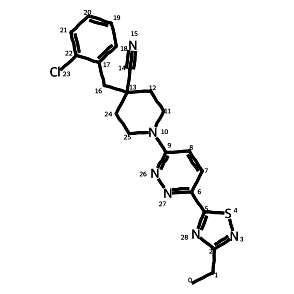 CCc1nsc(-c2ccc(N3CCC(C#N)(Cc4ccccc4Cl)CC3)nn2)n1